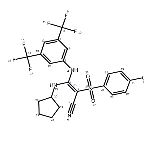 N#C/C(=C(/Nc1cc(C(F)(F)F)cc(C(F)(F)F)c1)NC1CCCC1)S(=O)(=O)c1ccc(Cl)cc1